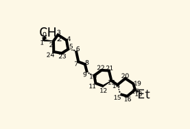 C=C[C@H]1CC[C@H](CCCC[C@H]2CC[C@H]([C@H]3CC[C@H](CC)CC3)CC2)CC1